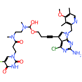 COc1c(C)cnc(Cn2cc(C#CCCOC(O)N(C)CCN(C)C(=O)CCn3cc(F)c(=O)[nH]c3=O)c3c(Cl)nc(N)nc32)c1C